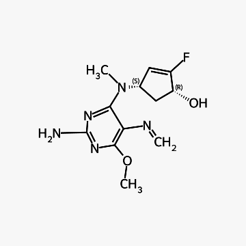 C=Nc1c(OC)nc(N)nc1N(C)[C@@H]1C=C(F)[C@H](O)C1